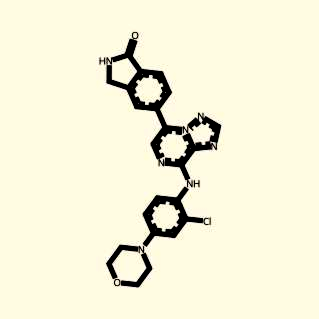 O=C1NCc2cc(-c3cnc(Nc4ccc(N5CCOCC5)cc4Cl)c4ncnn34)ccc21